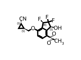 CS(=O)(=O)c1ccc(OC[C@H]2C[C@@H]2C#N)c2c1[C@H](O)C(F)(F)[C@@H]2F